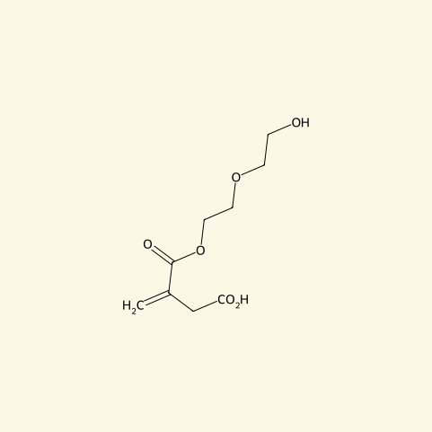 C=C(CC(=O)O)C(=O)OCCOCCO